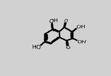 O=C1C(O)=C(O)C(=O)c2c(O)cc(O)cc21